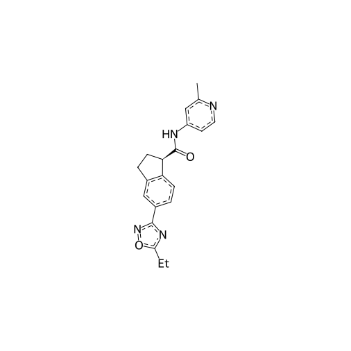 CCc1nc(-c2ccc3c(c2)CC[C@H]3C(=O)Nc2ccnc(C)c2)no1